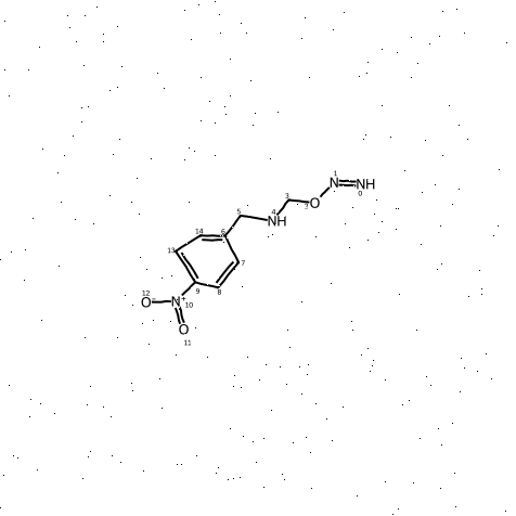 N=NOCNCc1ccc([N+](=O)[O-])cc1